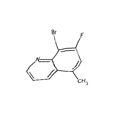 Cc1cc(F)c(Br)c2ncccc12